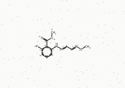 CO/N=C/C=N/Nc1cccc(F)c1C(=O)OC